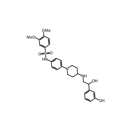 COc1ccc(S(=O)(=O)Nc2ccc(N3CCC(NCC(O)c4cccc(O)c4)CC3)cc2)cc1OC